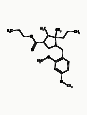 CCCOC(=O)C1CN(Cc2ccc(OC)cc2OC)C(C)(CCC)C1C